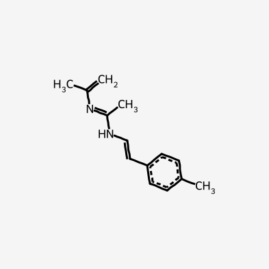 C=C(C)/N=C(\C)N/C=C/c1ccc(C)cc1